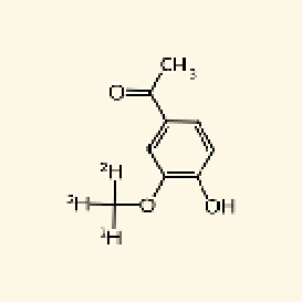 [2H]C([2H])([2H])Oc1cc(C(C)=O)ccc1O